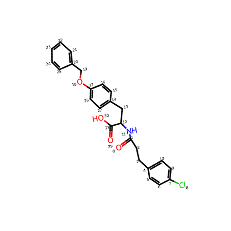 O=C(CCc1ccc(Cl)cc1)NC(Cc1ccc(OCc2ccccc2)cc1)C(=O)O